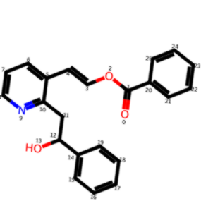 O=C(OC=Cc1cccnc1CC(O)c1ccccc1)c1ccccc1